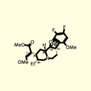 CC[C@H]1CN2CC[C@@]34OCCO[C@@]3(Nc3c(F)c(F)cc(OC)c34)[C@H]2C[C@H]1/C(=C\OC)C(=O)OC